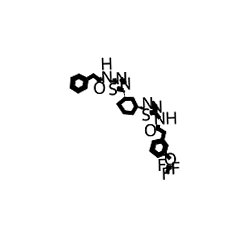 O=C(Cc1ccccc1)Nc1nnc([C@H]2CCC[C@H](c3nnc(NC(=O)Cc4cccc(OC(F)(F)F)c4)s3)C2)s1